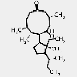 CC[C@@H](C)C1CC[C@@H]([C@@H]2C(O)C[C@@H](C)CC(=O)CC[C@H](C)[C@H]2C)[C@]1(C)CC